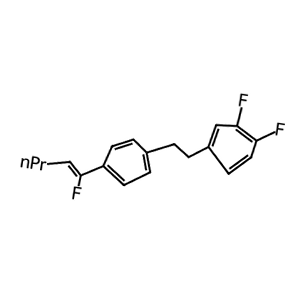 CCCC=C(F)c1ccc(CCc2ccc(F)c(F)c2)cc1